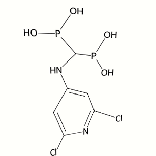 OP(O)C(Nc1cc(Cl)nc(Cl)c1)P(O)O